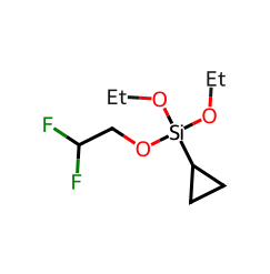 CCO[Si](OCC)(OCC(F)F)C1CC1